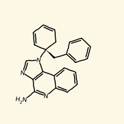 Nc1nc2ccccc2c2c1ncn2[C@]1(Cc2ccccc2)C=CC=CC1